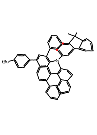 CC(C)(C)c1ccc(-c2ccc(N(c3ccc4c(c3)-c3ccccc3C4(C)C)c3ccc4ccccc4c3-c3ccccc3-c3ccccc3)c(-c3ccccc3)c2)cc1